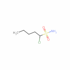 CCCCC(Cl)S(N)(=O)=O